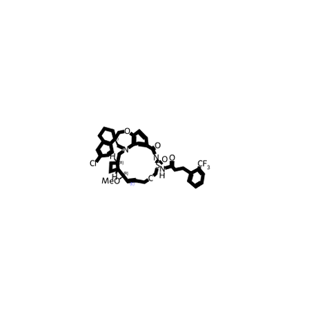 CO[C@H]1/C=C/CCCS(=O)(NC(=O)CCc2ccccc2C(F)(F)F)=NC(=O)c2ccc3c(c2)N(C[C@@H]2CC[C@H]21)C[C@@]1(CCCc2cc(Cl)ccc21)CO3